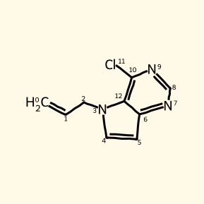 C=CCn1ccc2ncnc(Cl)c21